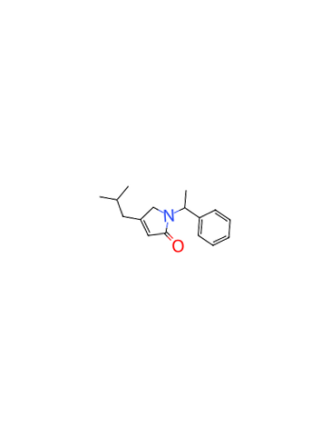 CC(C)CC1=CC(=O)N(C(C)c2ccccc2)C1